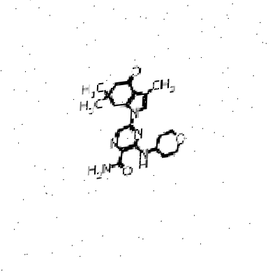 Cc1cn(-c2cnc(C(N)=O)c(NC3CCOCC3)n2)c2c1C(=O)CC(C)(C)C2